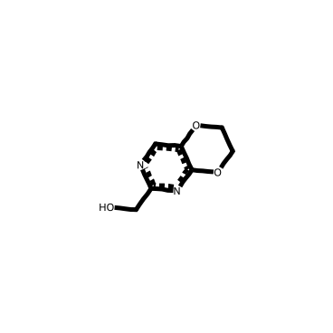 OCc1ncc2c(n1)OCCO2